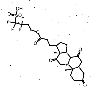 C[C@]12CCC(=O)CC1CC(=O)C1C2CC(=O)[C@]2(C)C(CCC(=O)OCCC(F)(F)C(F)(F)S(=O)(=O)O)CCC12